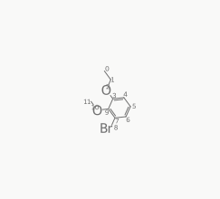 CCOc1cccc(Br)c1OC